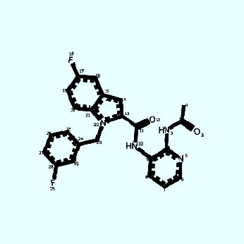 CC(=O)Nc1ncccc1NC(=O)c1cc2cc(F)ccc2n1Cc1cccc(F)c1